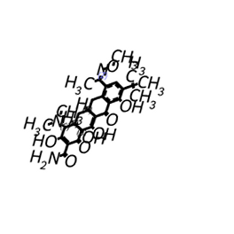 CO/N=C(/C)c1cc(C(C)(C)C)c(O)c2c1C[C@H]1C[C@@H]3[C@H](N(C)C)C(O)=C(C(N)=O)C(=O)[C@@]3(O)C(O)=C1C2=O